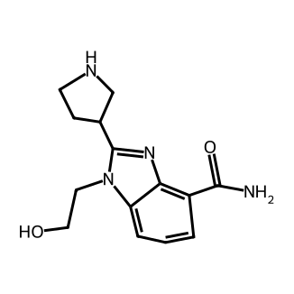 NC(=O)c1cccc2c1nc(C1CCNC1)n2CCO